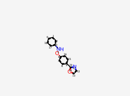 c1ccc(NOc2ccc(-c3ncco3)cc2)cc1